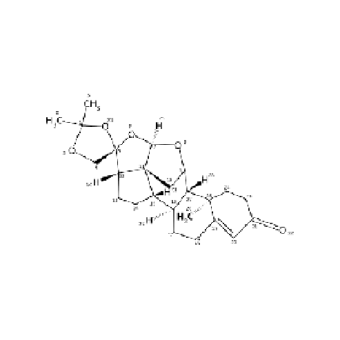 CC1(C)OC[C@]2(O[C@H]3OC4C[C@@]35[C@@H]2CC[C@H]5[C@@H]2C[CH]C3=CC(=O)CC[C@]3(C)[C@@H]42)O1